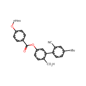 CCCCCCOc1ccc(C(=O)Oc2ccc(C(=O)O)c(-c3ccc(CCCC)cc3C#N)c2)cc1